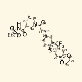 CCS(=O)(=O)NC(=O)C1CCCN(C(=O)/C=C/c2ccc(Sc3ccc4c(c3)OCCO4)c(C(F)(F)F)c2)C1